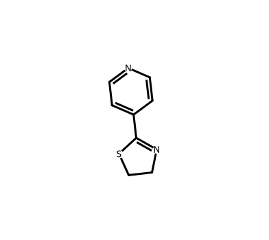 c1cc(C2=NCCS2)ccn1